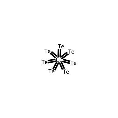 [Te]=[Cu](=[Te])(=[Te])(=[Te])(=[Te])(=[Te])=[Te]